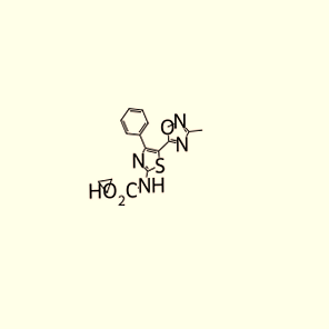 C1CC1.Cc1noc(-c2sc(NC(=O)O)nc2-c2ccccc2)n1